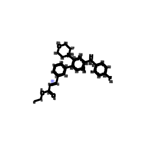 CCOC(=O)/C=C/c1cccc(-c2cnc(Nc3ccc(F)cc3)nc2N2CCOCC2)c1